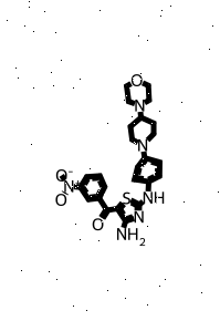 Nc1nc(Nc2ccc(N3CCC(N4CCOCC4)CC3)cc2)sc1C(=O)c1cccc([N+](=O)[O-])c1